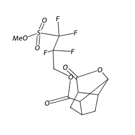 COS(=O)(=O)C(F)(F)C(F)(F)COC(=O)C1C2CC3C(=O)OC1C3C2